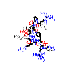 CC(C)C[C@H](NC(=O)[C@H](CCCNC(=N)N)NC(=O)[C@H](Cc1ccccc1)NC(=O)[C@H](CCCCN)NC(=O)[C@H](CC(=O)O)NC(=O)[C@@H](NC(=O)[C@H](C)NC(=O)[C@@H]1CCCN1C(=O)[C@@H](C)CCCNC(=N)N)[C@@H](C)O)C(N)=O